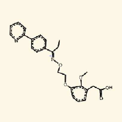 CC/C(=N\OCCOc1cccc(CC(=O)O)c1OC)c1ccc(-c2ccccn2)cc1